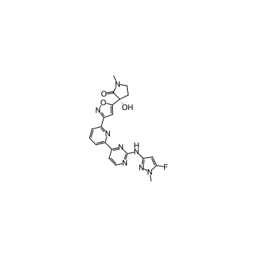 CN1CC[C@@](O)(c2cc(-c3cccc(-c4ccnc(Nc5cc(F)n(C)n5)n4)n3)no2)C1=O